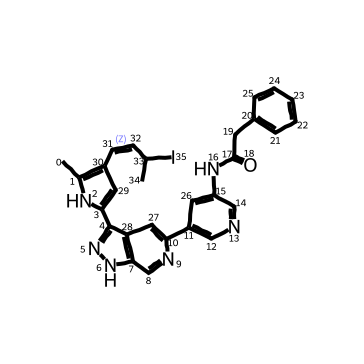 Cc1[nH]c(-c2n[nH]c3cnc(-c4cncc(NC(=O)Cc5ccccc5)c4)cc23)cc1/C=C\C(C)I